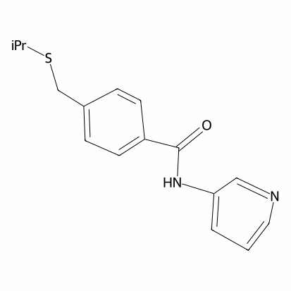 CC(C)SCc1ccc(C(=O)Nc2cccnc2)cc1